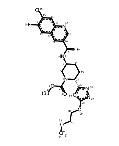 CC(C)(C)OC(=O)N1C[C@@H](NC(=O)c2cnc3cc(Cl)c(F)cc3c2)CC[C@@H]1c1nnc(OCCOC(F)(F)F)o1